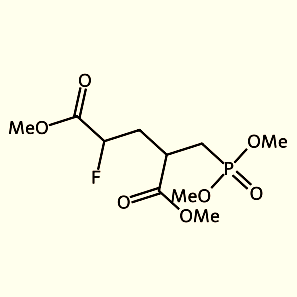 COC(=O)C(F)CC(CP(=O)(OC)OC)C(=O)OC